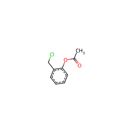 CC(=O)Oc1ccccc1CCl